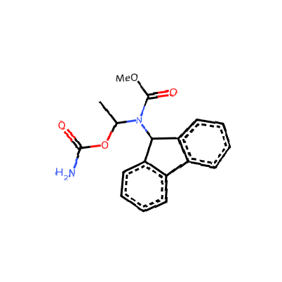 COC(=O)N(C(C)OC(N)=O)C1c2ccccc2-c2ccccc21